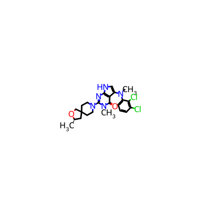 C[C@H]1CC2(CCN(c3nc4[nH]cc(N(C)c5cccc(Cl)c5Cl)c4c(=O)n3C)CC2)CO1